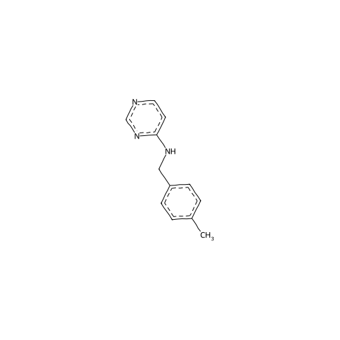 Cc1ccc(CNc2ccncn2)cc1